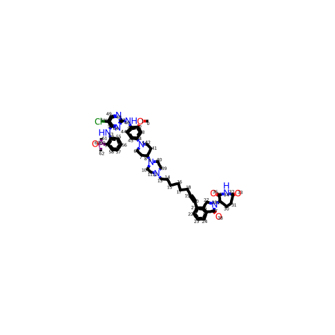 COc1cc(N2CCC(N3CCN(CCCCCCC#Cc4cccc5c4CN(C4CCC(=O)NC4=O)C5=O)CC3)CC2)ccc1Nc1ncc(Cl)c(Nc2ccccc2P(C)(C)=O)n1